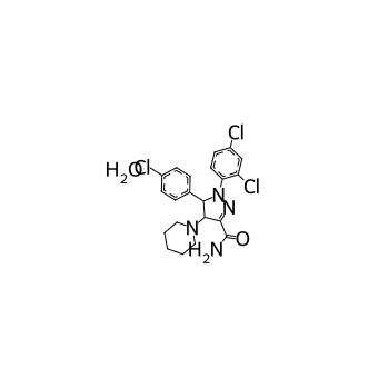 NC(=O)C1=NN(c2ccc(Cl)cc2Cl)C(c2ccc(Cl)cc2)C1N1CCCCC1.O